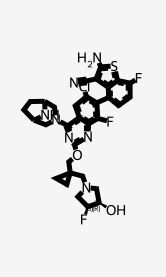 N#Cc1c(N)sc2c(F)ccc(-c3c(Cl)cc4c(N5CC6CCC(C5)N6)nc(OCC5(CN6C[C@@H](O)[C@@H](F)C6)CC5)nc4c3F)c12